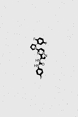 O=C(Nc1ccc(F)cc1)Nc1cnn2ccc(N3CCC[C@@H]3c3cc(F)ccc3F)nc12